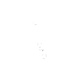 CCC(C)(C)C(=O)OCCCCCOc1ccc(C2=Cc3ccccc3CCC2)c(OC)c1